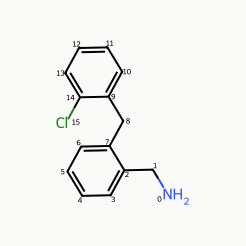 NCc1ccccc1Cc1ccccc1Cl